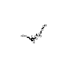 CCCCCCCCCCCCCc1c[nH]c(C(=O)OC(C)OC(=O)OCCOCCOCC)c1F